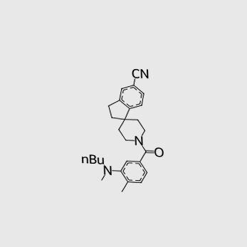 CCCCN(C)c1cc(C(=O)N2CCC3(CCc4cc(C#N)ccc43)CC2)ccc1C